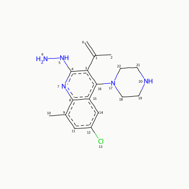 C=C(C)c1c(NN)nc2c(C)cc(Cl)cc2c1N1CCNCC1